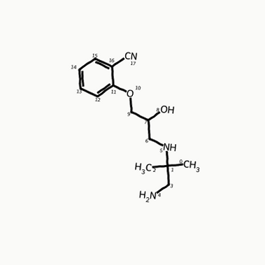 CC(C)(CN)NCC(O)COc1ccccc1C#N